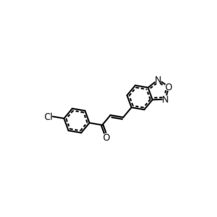 O=C(C=Cc1ccc2nonc2c1)c1ccc(Cl)cc1